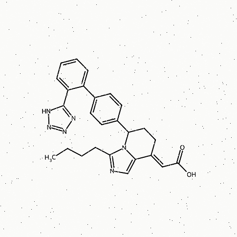 CCCCc1ncc2n1C(c1ccc(-c3ccccc3-c3nnn[nH]3)cc1)CCC2=CC(=O)O